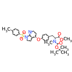 COC(=O)C(Cc1ccc(Oc2ccnc3c2ccn3S(=O)(=O)c2ccc(C)cc2)cc1)N(C)C(=O)OC(C)(C)C